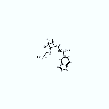 CCCC(NC(=O)N1C(=O)C(CC)(CC)C1OCC(=O)O)c1ccc2occc2c1